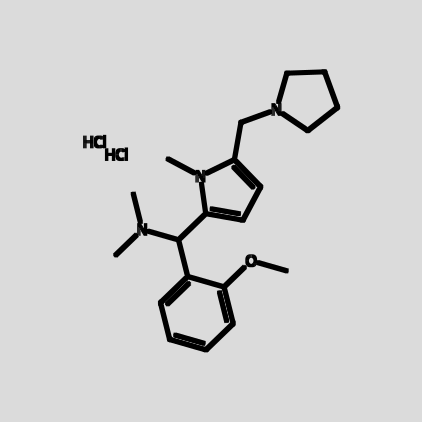 COc1ccccc1C(c1ccc(CN2CCCC2)n1C)N(C)C.Cl.Cl